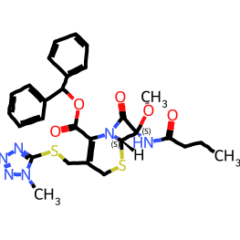 CCCC(=O)N[C@]1(OC)C(=O)N2C(C(=O)OC(c3ccccc3)c3ccccc3)=C(CSc3nnnn3C)CS[C@H]21